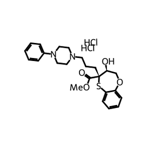 COC(=O)[C@@]1(CCCN2CCN(c3ccccc3)CC2)Sc2ccccc2OC[C@@H]1O.Cl.Cl